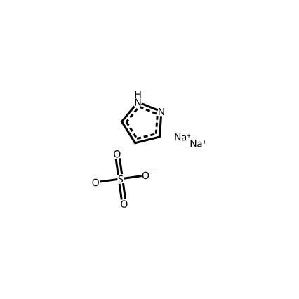 O=S(=O)([O-])[O-].[Na+].[Na+].c1cn[nH]c1